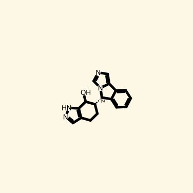 OC1c2[nH]ncc2CCC1[C@H]1c2ccccc2-c2cncn21